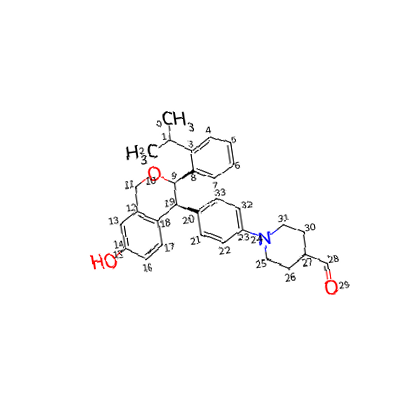 CC(C)c1ccccc1[C@@H]1OCc2cc(O)ccc2[C@@H]1c1ccc(N2CCC(C=O)CC2)cc1